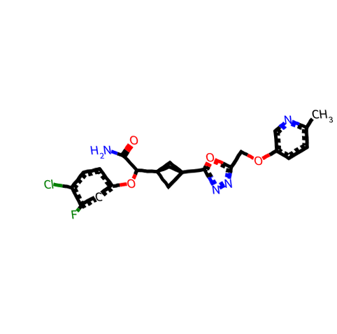 Cc1ccc(OCc2nnc(C34CC(C(Oc5ccc(Cl)c(F)c5)C(N)=O)(C3)C4)o2)cn1